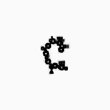 C[C@H]1CN(c2cc(-c3ccccc3O)nnc2N)C[C@@H](c2ccc(C(=O)N3CCC(F)(CN4CCC(n5cc(C6CC6)c6cc(N7CCC(=O)NC7=O)ccc65)CC4)CC3)cc2)O1